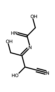 N#CC(O)C(CO)=NC(=N)CO